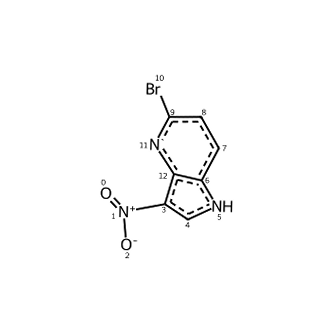 O=[N+]([O-])c1c[nH]c2ccc(Br)nc12